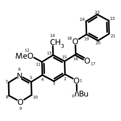 CCCCOc1cc(C2=NCCOC2)c(OC)c(C)c1C(=O)Oc1ccccc1